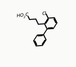 O=C(O)CCCc1c(Cl)cccc1-c1ccccc1